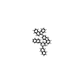 c1ccc2cc(C3=NC(c4ccc5ccccc5c4)NC(c4cccc5oc6cc(-n7c8ccccc8c8c9ccccc9ccc87)ccc6c45)=N3)ccc2c1